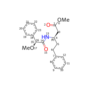 COC(=O)C[C@@H](CCc1ccccc1)NC(=O)[C@@H](OC)c1ccccc1